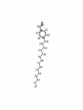 CCCCCCCCCCCCCCCc1ccc([CH]F)cc1